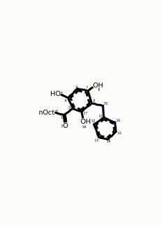 CCCCCCCCC(=O)c1c(O)cc(O)c(Cc2ccccc2)c1O